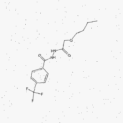 CCCCOCC(=O)NNC(=O)c1ccc(C(F)(F)F)cc1